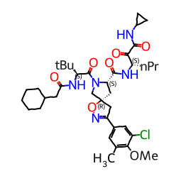 CCC[C@H](NC(=O)[C@@H]1C[C@@]2(CC(c3cc(C)c(OC)c(Cl)c3)=NO2)CN1C(=O)[C@@H](NC(=O)CC1CCCCC1)C(C)(C)C)C(=O)C(=O)NC1CC1